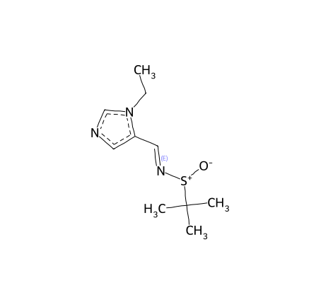 CCn1cncc1/C=N/[S+]([O-])C(C)(C)C